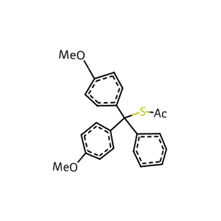 COc1ccc(C(SC(C)=O)(c2ccccc2)c2ccc(OC)cc2)cc1